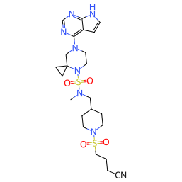 CN(CC1CCN(S(=O)(=O)CCCC#N)CC1)S(=O)(=O)N1CCN(c2ncnc3[nH]ccc23)CC12CC2